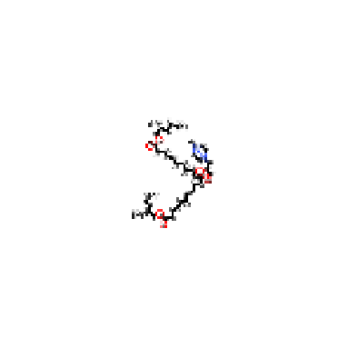 CC(C)CCC(COC(=O)CCCCCCCCCC1(CCCCCCCCCC(=O)OCC(CCC(C)C)C(C)C)OCC(CN2CCN(C)CC2)O1)C(C)C